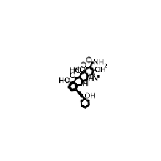 CN(C)[C@H]1C(O)=C(C(N)=O)C(=O)[C@@]2(O)C(O)=C3C(=O)c4c(O)ccc(C#CC5(O)CCCCC5)c4C[C@@H]3C[C@@H]12